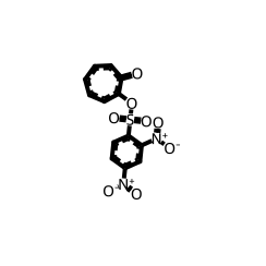 O=c1cccccc1OS(=O)(=O)c1ccc([N+](=O)[O-])cc1[N+](=O)[O-]